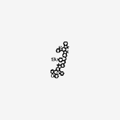 CC(C)(C)c1ccc(C(Cc2ccc3c(c2)C(C)(C)c2cc(-c4cccc5oc6ccccc6c45)c4oc5ccccc5c4c2-3)Cc2ccc3c(c2)C(C)(C)c2c4c(c5oc6ccccc6c5c2-3)-c2ccccc2C4(C)C)cc1